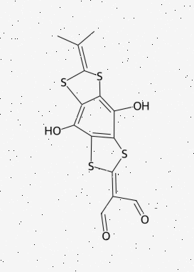 CC(C)=C1Sc2c(O)c3c(c(O)c2S1)SC(=C(C=O)C=O)S3